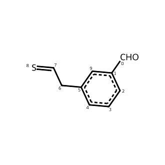 O=Cc1cccc(CC=S)c1